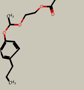 C=CC(=O)OCCOC(C)Oc1ccc(CCC)cc1